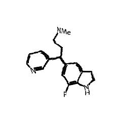 CNCCC(c1cccnc1)c1cc(F)c2c(c1)CCN2